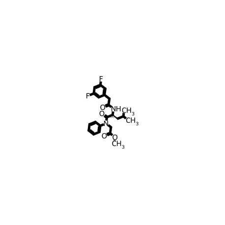 COC(=O)CN(C(=O)[C@H](CC(C)C)NC(=O)Cc1cc(F)cc(F)c1)c1ccccc1